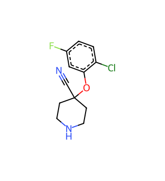 N#CC1(Oc2cc(F)ccc2Cl)CCNCC1